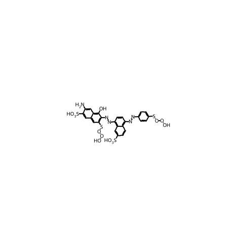 Nc1cc2c(O)c(N=Nc3ccc(N=Nc4ccc(SOOO)cc4)c4ccc(S(=O)(=O)O)cc34)c(SOOO)cc2cc1S(=O)(=O)O